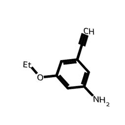 C#Cc1cc(N)cc(OCC)c1